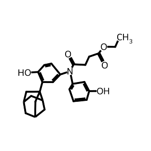 CCOC(=O)CCC(=O)N(c1cccc(O)c1)c1ccc(O)c(C23CC4CC(CC2C4)C3)c1